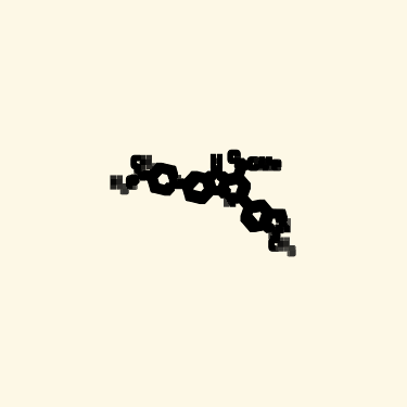 COC(=O)c1cc(-c2ccc3c(cnn3C)c2)nc2c1[nH]c1cc(N3CCC(N(C)C)CC3)ccc12